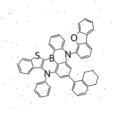 c1ccc(N2c3cc(-c4cccc5c4CCCC5)cc4c3B(c3ccccc3N4c3cccc4c3oc3ccccc34)c3sc4ccccc4c32)cc1